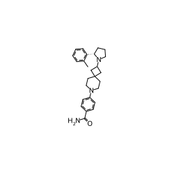 Cc1ccccc1[C@@H]1CCCN1C1CC2(CCN(c3ccc(C(N)=O)cc3)CC2)C1